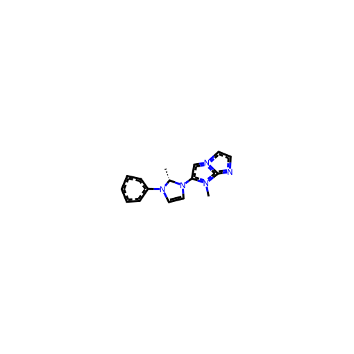 C[C@H]1N(c2ccccc2)C=CN1c1cn2ccnc2n1C